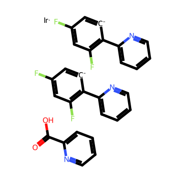 Fc1c[c-]c(-c2ccccn2)c(F)c1.Fc1c[c-]c(-c2ccccn2)c(F)c1.O=C(O)c1ccccn1.[Ir]